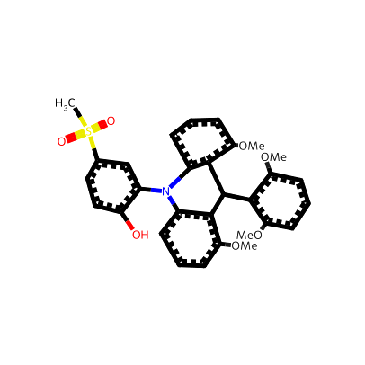 COc1cccc(OC)c1C1c2c(OC)cccc2N(c2cc(S(C)(=O)=O)ccc2O)c2cccc(OC)c21